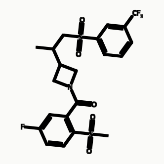 CC(CS(=O)(=O)c1cccc(C(F)(F)F)c1)C1CN(C(=O)c2cc(F)ccc2S(C)(=O)=O)C1